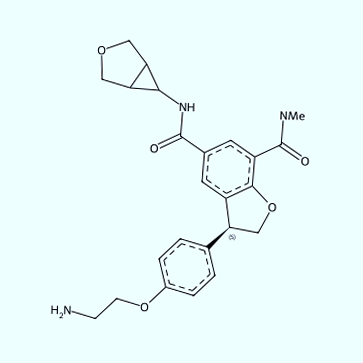 CNC(=O)c1cc(C(=O)NC2C3COCC32)cc2c1OC[C@H]2c1ccc(OCCN)cc1